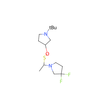 CC(SOC1CCN(C(C)(C)C)C1)N1CCC(F)(F)C1